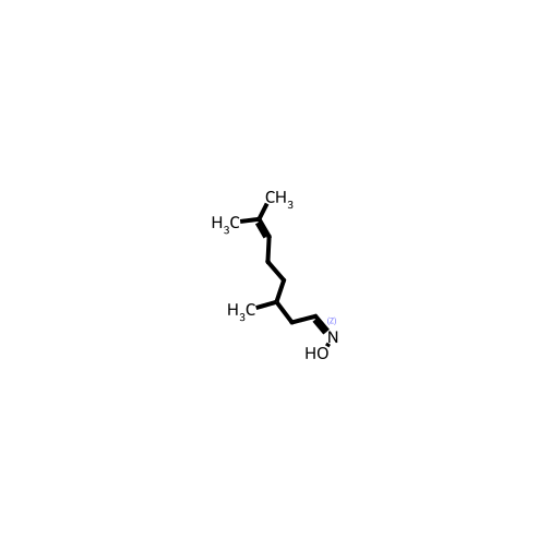 CC(C)=CCCC(C)C/C=N\O